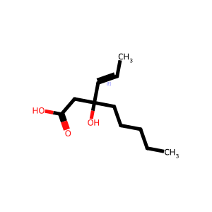 C/C=C/C(O)(CCCCC)CC(=O)O